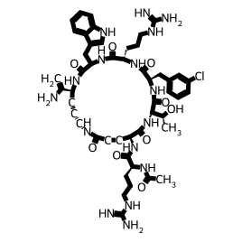 C=C(N)[C@@H]1CCCNC(=O)CC[C@H](NC(=O)[C@H](CCCNC(=N)N)NC(C)=O)C(=O)N[C@@H]([C@@H](C)O)C(=O)N[C@H](Cc2cccc(Cl)c2)C(=O)N[C@@H](CCCNC(=N)N)C(=O)NC(Cc2c[nH]c3ccccc23)C(=O)N1